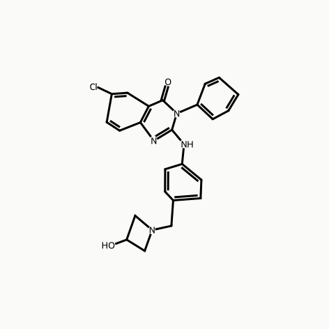 O=c1c2cc(Cl)ccc2nc(Nc2ccc(CN3CC(O)C3)cc2)n1-c1ccccc1